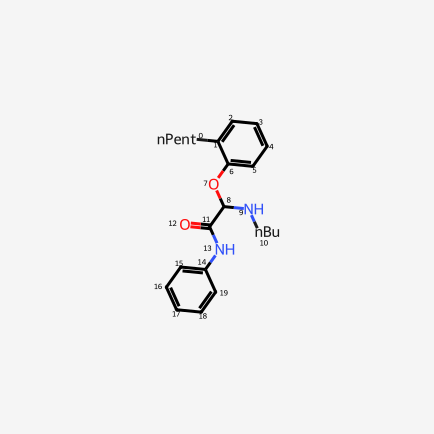 CCCCCc1ccccc1OC(NCCCC)C(=O)Nc1ccccc1